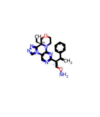 C=C(/C(=C\ON)c1ncc2c(n1)N1CCOC[C@@]1(CC)c1nncn1-2)c1ccccc1